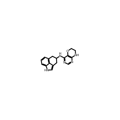 c1cc2c3c(c[nH]c3c1)CC(Nc1ncnc3c1OCCN3)C2